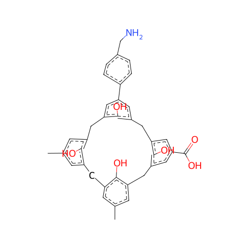 Cc1cc2c(O)c(c1)Cc1cc(C(=O)O)cc(c1O)Cc1cc(-c3ccc(CN)cc3)cc(c1O)Cc1cc(C)cc(c1O)C2